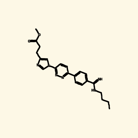 CCCCNC(=N)c1ccc(-c2ccc(-n3cnc(CCC(=O)OC)c3)nn2)cc1